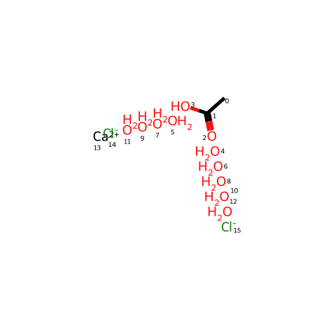 CC(=O)O.O.O.O.O.O.O.O.O.O.[Ca+2].[Cl-].[Cl-]